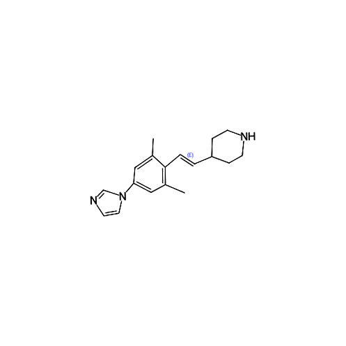 Cc1cc(-n2ccnc2)cc(C)c1/C=C/C1CCNCC1